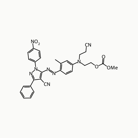 COC(=O)OCCN(CCC#N)c1ccc(N=Nc2c(C#N)c(-c3ccccc3)nn2-c2ccc([N+](=O)[O-])cc2)c(C)c1